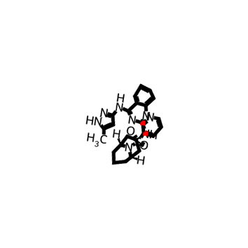 Cc1cc(Nc2nc(N[C@@H]3C[C@H]4CCC[C@@H](C3)N4S(=O)(=O)c3cccnc3)nc3ccccc23)n[nH]1